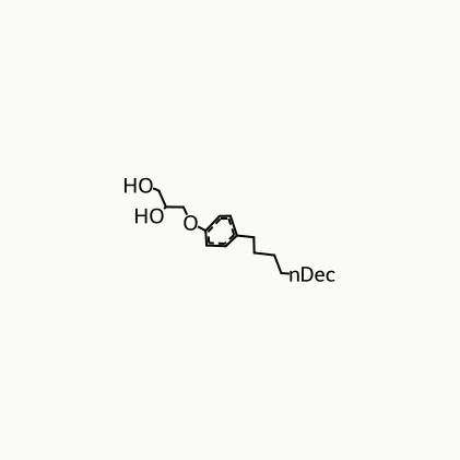 CCCCCCCCCCCCCCc1ccc(OCC(O)CO)cc1